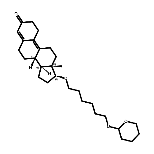 C[C@]12CCC3=C4CCC(=O)C=C4CC[C@H]3[C@@H]1CC[C@@H]2OCCCCCCOC1CCCCO1